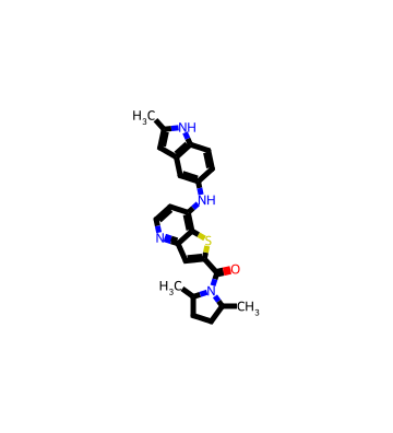 Cc1cc2cc(Nc3ccnc4cc(C(=O)N5C(C)CCC5C)sc34)ccc2[nH]1